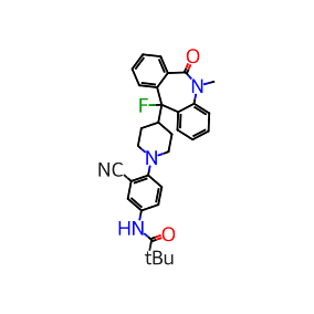 CN1C(=O)c2ccccc2C(F)(C2CCN(c3ccc(NC(=O)C(C)(C)C)cc3C#N)CC2)c2ccccc21